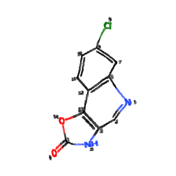 O=c1[nH]c2cnc3cc(Cl)ccc3c2o1